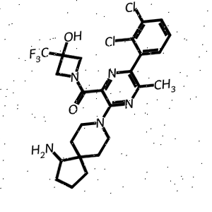 Cc1nc(N2CCC3(CCCC3N)CC2)c(C(=O)N2CC(O)(C(F)(F)F)C2)nc1-c1cccc(Cl)c1Cl